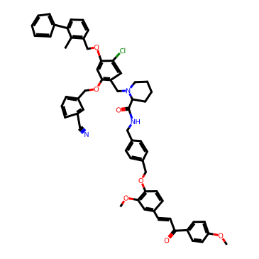 COc1ccc(C(=O)/C=C/c2ccc(OCc3ccc(CNC(=O)C4CCCCN4Cc4cc(Cl)c(OCc5cccc(-c6ccccc6)c5C)cc4OCc4cccc(C#N)c4)cc3)c(OC)c2)cc1